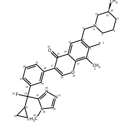 Cc1c(F)c(CN2CCC[C@H](C)C2)cc2c(=O)c(-c3cccc(C(F)(c4nncn4C)C4CC4)c3)coc12